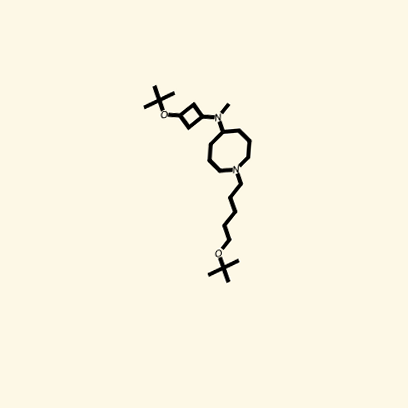 CN(C1CCCN(CCCCCOC(C)(C)C)CCC1)C1CC(OC(C)(C)C)C1